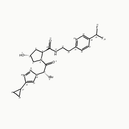 CC(C)(C)[C@@H](C(=O)N1C[C@H](O)C[C@H]1C(=O)NCCc1ccc(C(F)F)cn1)n1cc(C2CC2)nn1